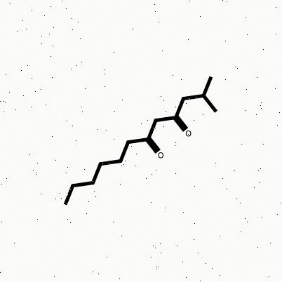 CCCCCCC(=O)CC(=O)CC(C)C